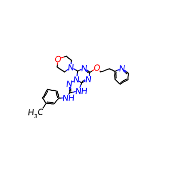 Cc1cccc(NC2=NN3C(=NC(OCCc4ccccn4)=NC3N3CCOCC3)N2)c1